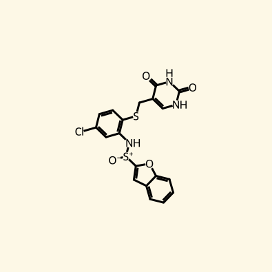 O=c1[nH]cc(CSc2ccc(Cl)cc2N[S+]([O-])c2cc3ccccc3o2)c(=O)[nH]1